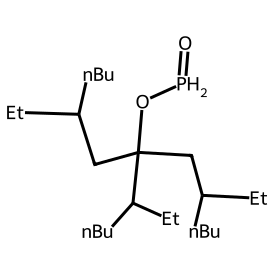 CCCCC(CC)CC(CC(CC)CCCC)(O[PH2]=O)C(CC)CCCC